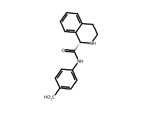 O=C(O)c1ccc(NC(=O)[C@H]2NCCc3ccccc32)cc1